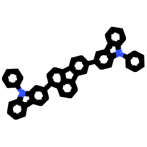 c1ccc(-n2c3ccccc3c3cc(-c4ccc5c(c4)-c4cccc6c(-c7ccc8c9ccccc9n(-c9ccccc9)c8c7)ccc-5c46)ccc32)cc1